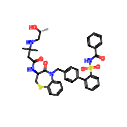 C[C@@H](O)CNC(C)(C)CC(=O)N[C@@H]1CSc2ccccc2N(Cc2ccc(-c3ccccc3S(=O)(=O)NC(=O)c3ccccc3)cc2)C1=O